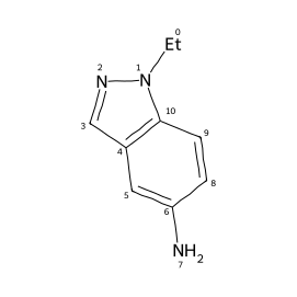 CCn1ncc2cc(N)ccc21